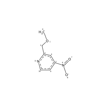 COCc1cc([N+](=O)[O-])ccn1